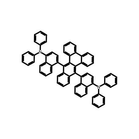 c1ccc(N(c2ccccc2)c2ccc(-c3c4ccccc4c(-c4ccc(N(c5ccccc5)c5ccccc5)c5ccccc45)c4c5ccccc5c5ccccc5c34)c3ccccc23)cc1